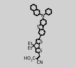 CCC1(CC)c2cc(C=C(C#N)C(=O)O)sc2-c2sc(-c3ccc4c(c3)sc3cc(N(c5ccccc5)c5ccc6ccccc6c5)ccc34)cc21